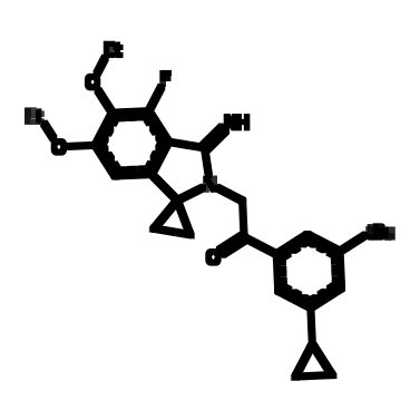 CCOc1cc2c(c(F)c1OCC)C(=N)N(CC(=O)c1cc(C3CC3)cc(C(C)(C)C)c1)C21CC1